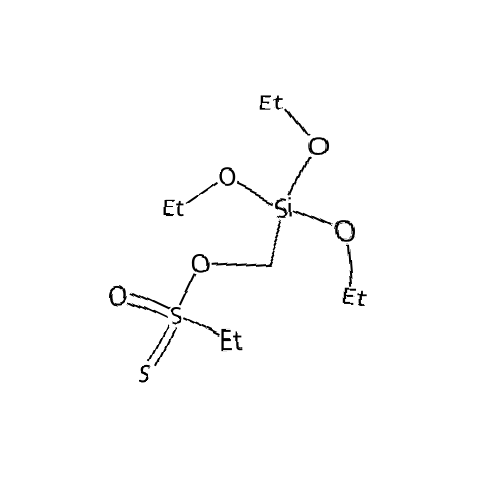 CCO[Si](COS(=O)(=S)CC)(OCC)OCC